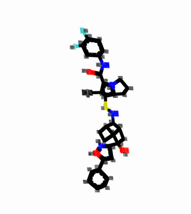 Cc1c(SNC2C3CCC34C2CC4(O)c2cc(-c3ccccc3)on2)c2n(c1C(=O)Nc1ccc(F)c(F)c1)CCC2